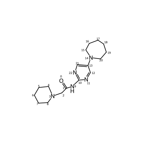 O=C(CN1CCCCC1)Nc1ncc(N2CCCCCC2)cn1